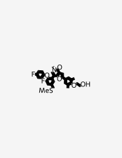 CSCc1ccc(Oc2ccc(F)cc2F)c(-c2cn(C)c(=O)c3cc(-c4cc(C)c(OCCO)c(C)c4)oc23)c1